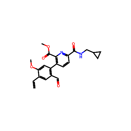 C=Cc1cc(C=O)c(-c2ccc(C(=O)NCC3CC3)nc2C(=O)OC)cc1OC